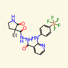 CCC1(C(=O)NNC(=O)c2cccnc2Nc2ccc(S(F)(F)(F)(F)F)cc2)CCNC1=O